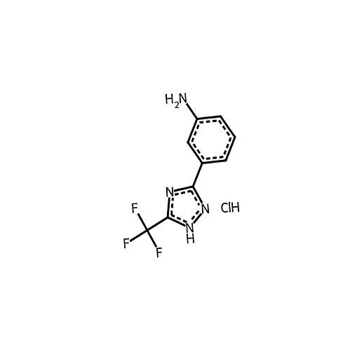 Cl.Nc1cccc(-c2n[nH]c(C(F)(F)F)n2)c1